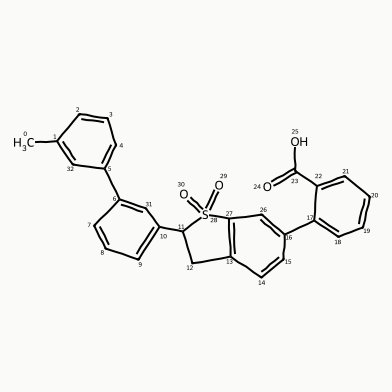 Cc1cccc(-c2cccc(C3Cc4ccc(-c5ccccc5C(=O)O)cc4S3(=O)=O)c2)c1